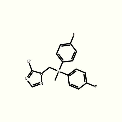 C[Si](Cn1ncnc1Br)(c1ccc(F)cc1)c1ccc(F)cc1